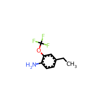 CCc1ccc(N)c(OC(F)(F)F)c1